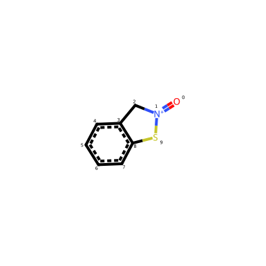 O=[N+]1Cc2ccccc2S1